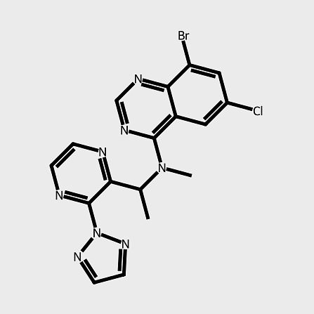 CC(c1nccnc1-n1nccn1)N(C)c1ncnc2c(Br)cc(Cl)cc12